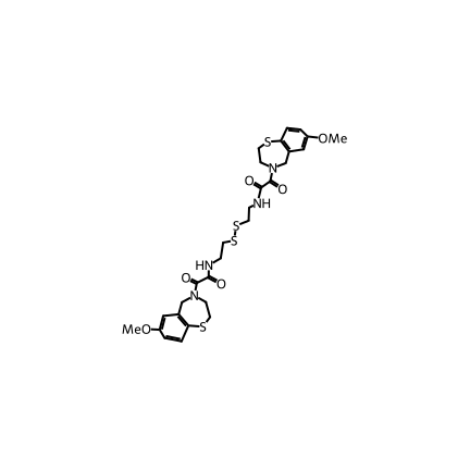 COc1ccc2c(c1)CN(C(=O)C(=O)NCCSSCCNC(=O)C(=O)N1CCSc3ccc(OC)cc3C1)CCS2